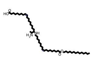 CCCCCCCCCCCCCCOC(=O)CCCCCCC/C=C\CCCCCCCCNC(CCCCCCCC/C=C\CCCCCCCC(=O)O)C(C)N